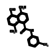 Cc1cccc(NC(=O)c2ccc(C(=O)O)c3c(C=O)ccc(C(=O)O)c23)c1